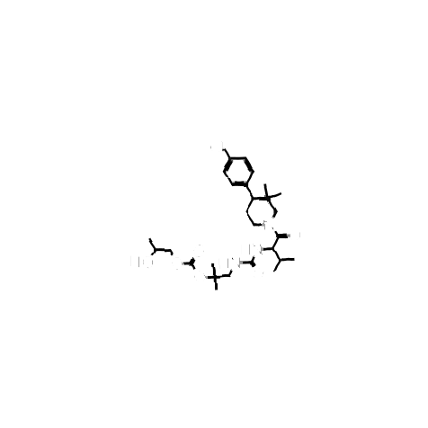 CC(O)COC(=O)OC(C)(C)CNC(=O)NC(C(=O)N1CCC(c2ccc(Cl)cc2)C(C)(C)C1)C(C)C